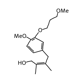 COCCCOc1cc(CC(C)=C(C)CO)ccc1OC